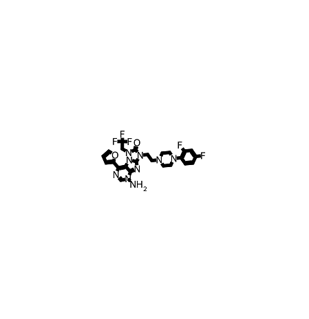 NN1C=NC(c2ccco2)=C2C1=NC1N(CCN3CCN(c4ccc(F)cc4F)CC3)C(=O)N(CC(F)(F)F)N21